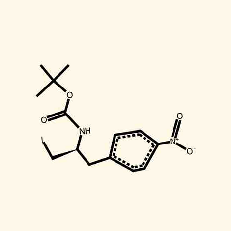 CC(C)(C)OC(=O)N[C@H](CI)Cc1ccc([N+](=O)[O-])cc1